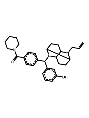 C=CCN1C2CCC3C1CCC2N3C(c1ccc(C(=O)N2CCCCC2)cc1)c1cccc(O)c1